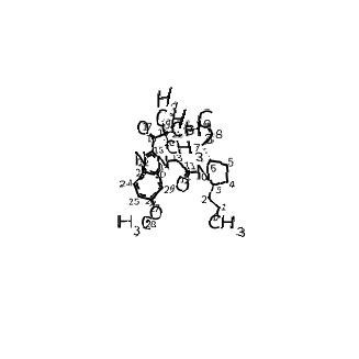 CCC[C@@H]1CC[C@@H](CCC)N1C(=O)Cn1c(C(=O)C(C)(C)C)nc2ccc(OC)cc21